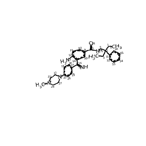 CCC(CC)(CNC(=O)c1ccc(N)c(C(=N)c2ccc(N3CCN(C)CC3)cc2)c1)c1ccccc1